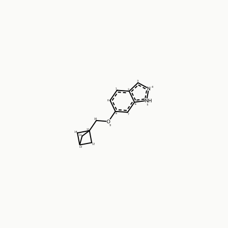 c1cc2cn[nH]c2cc1OCC12CC(C1)C2